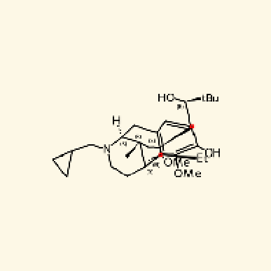 CC[C@@]1(OC)C[C@@]23CCN(CC4CC4)[C@@H](Cc4ccc(O)c(OC)c42)[C@]3(C)C[C@H]1C[C@@H](O)C(C)(C)C